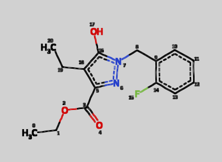 CCOC(=O)c1nn(Cc2ccccc2F)c(O)c1CC